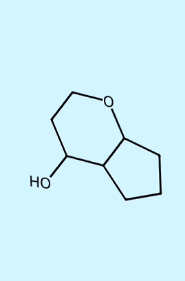 OC1CCOC2CCCC12